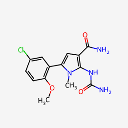 COc1ccc(Cl)cc1-c1cc(C(N)=O)c(NC(N)=O)n1C